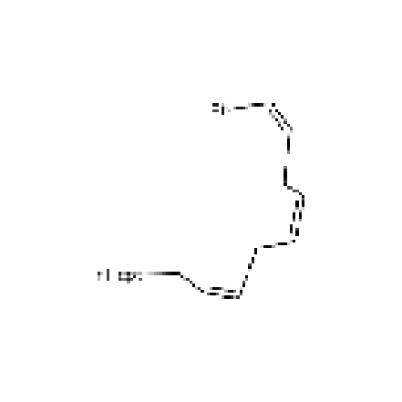 [CH2]C/C=C\C/C=C\C/C=C\CCCCCCCC